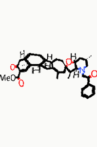 COC(=O)C1=C[C@@]2(C)[C@H](CC[C@H]3[C@@H]4CC[C@@]5(CC(C)=C4C[C@@H]32)O[C@@H]2C[C@H](C)CN(CC(=O)c3ccccc3)[C@H]2[C@H]5C)CC1=O